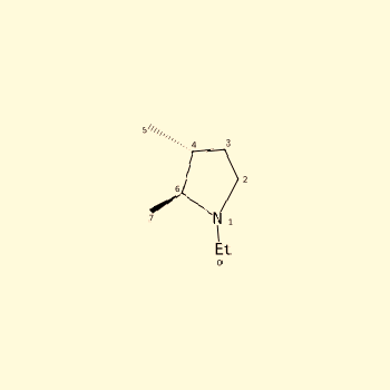 CCN1CC[C@@H](C)[C@@H]1C